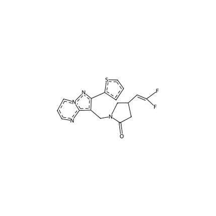 O=C1CC(C=C(F)F)CN1Cc1c(-c2cccs2)nn2cccnc12